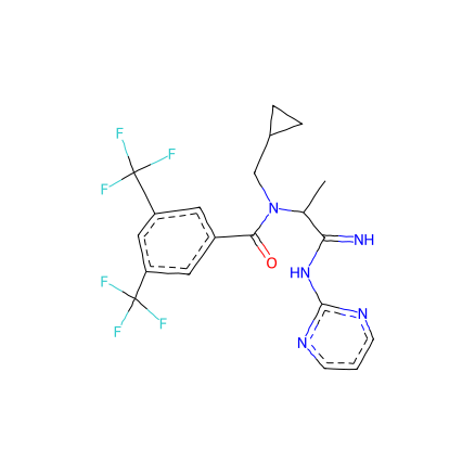 CC(C(=N)Nc1ncccn1)N(CC1CC1)C(=O)c1cc(C(F)(F)F)cc(C(F)(F)F)c1